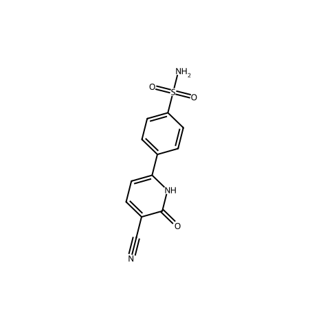 N#Cc1ccc(-c2ccc(S(N)(=O)=O)cc2)[nH]c1=O